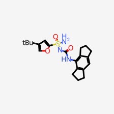 CC(C)(C)c1coc(S(N)(=O)=NC(=O)Nc2c3c(cc4c2CCC4)CCC3)c1